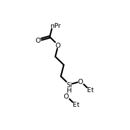 CCCC(=O)OCCC[SiH](OCC)OCC